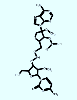 COC1C(OPOCC2OCC(OC)(n3cnc4c(N)ncnc43)C2OP(O)S)C(CO)OC1n1ccc(N)nc1=O